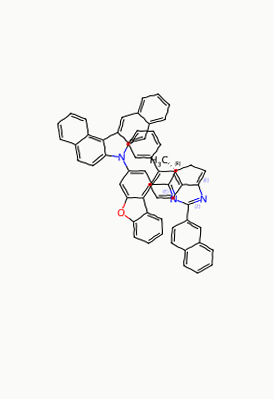 C[C@@H]1C/C=C(c2cccc(-c3ccccc3)c2)/N=C(c2ccc3ccccc3c2)\N=C/1c1cc(-n2c3cc4ccccc4cc3c3c4ccccc4ccc32)cc2oc3ccccc3c12